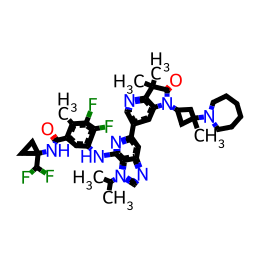 Cc1c(C(=O)NC2(C(F)F)CC2)cc(Nc2nc(-c3cnc4c(c3)N(C3CC(C)(N5CCCCCC5)C3)C(=O)C4(C)C)cc3ncn(C(C)C)c23)c(F)c1F